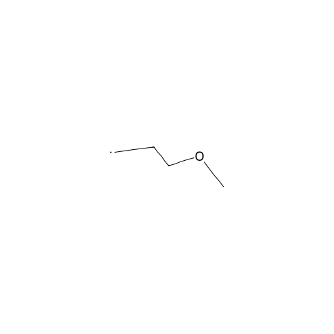 [CH2]CCOC